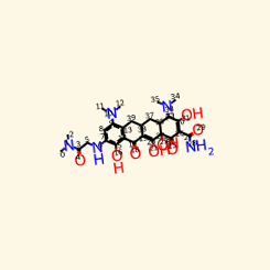 CN(C)C(=O)CNc1cc(N(C)C)c2c(c1O)C(=O)C1=C(O)C3(O)C(=O)C(C(N)=O)=C(O)[C@@H](N(C)C)C3CC1C2